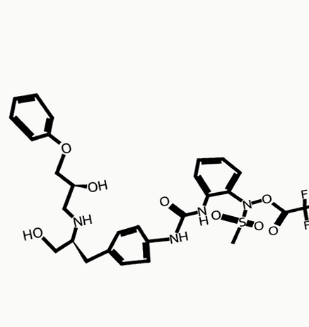 CS(=O)(=O)N(OC(=O)C(F)(F)F)c1ccccc1NC(=O)Nc1ccc(C[C@@H](CO)NC[C@H](O)COc2ccccc2)cc1